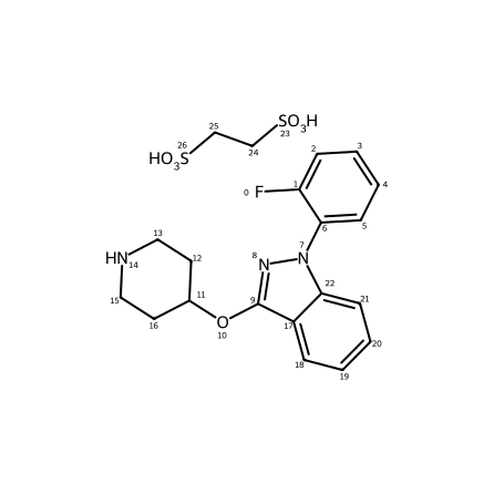 Fc1ccccc1-n1nc(OC2CCNCC2)c2ccccc21.O=S(=O)(O)CCS(=O)(=O)O